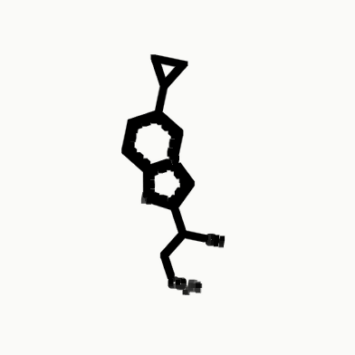 CCOC(=O)CC(O)c1cn2cc(C3CC3)ccc2n1